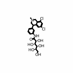 CN1Cc2c(Cl)cc(Cl)cc2C(c2cccc(NC(=O)[C@H](O)[C@@H](O)[C@H](O)[C@H](O)CO)c2)C1